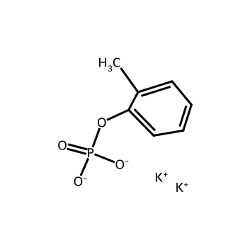 Cc1ccccc1OP(=O)([O-])[O-].[K+].[K+]